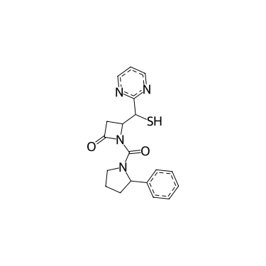 O=C1CC(C(S)c2ncccn2)N1C(=O)N1CCCC1c1ccccc1